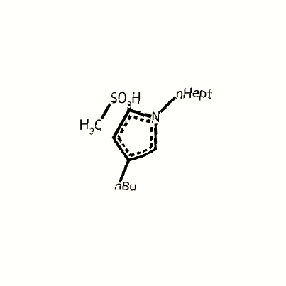 CCCCCCCn1ccc(CCCC)c1.CS(=O)(=O)O